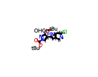 CC(C)(C)OC(=O)n1cc(-c2cc3cnc(Cl)cc3[nH]2)cn1.CC(C)(C)OC=O